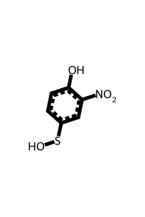 O=[N+]([O-])c1cc(SO)ccc1O